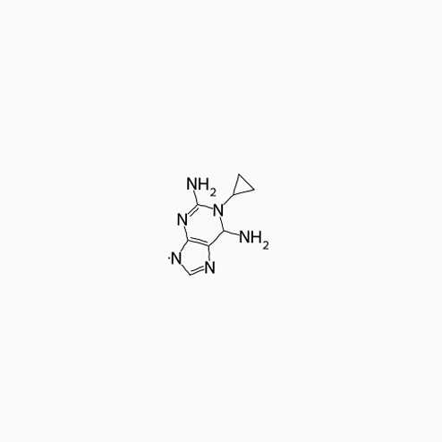 NC1=NC2=C(N=C[N]2)C(N)N1C1CC1